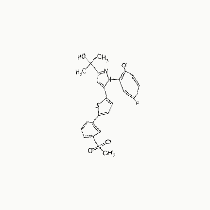 CC(C)(O)c1cc(-c2ccc(-c3cccc(S(C)(=O)=O)c3)s2)n(-c2cc(F)ccc2Cl)n1